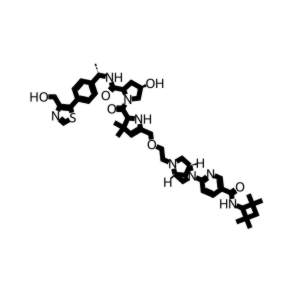 C[C@H](NC(=O)C1C[C@@H](O)CN1C(=O)C1NC(COCCN2C[C@@H]3C[C@H]2CN3c2ccc(C(=O)NC3C(C)(C)CC3(C)C)cn2)=CC1(C)C)c1ccc(-c2scnc2CO)cc1